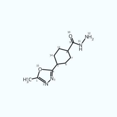 Cc1nnc(C2CCC(C(=O)NN)CC2)o1